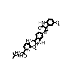 COc1ccc2c(c1)[C@]1(C[C@H]1c1ccc3c(Nc4ccc(C(=O)NNC(C)C)nc4OC)n[nH]c3c1)C(=O)N2